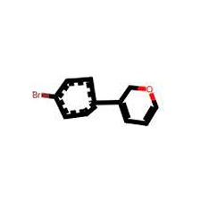 Brc1ccc(C2=CC=COC2)cc1